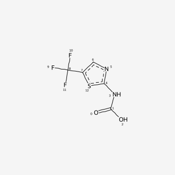 O=C(O)Nc1ncc(C(F)(F)F)s1